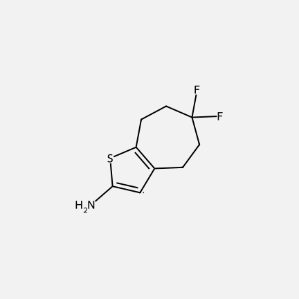 Nc1[c]c2c(s1)CCC(F)(F)CC2